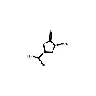 CC(O)C1CN(C)C(=O)O1